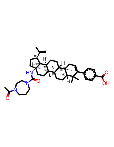 C=C(C)[C@@H]1CC[C@]2(NC(=O)N3CCCN(C(C)=O)CC3)CC[C@]3(C)[C@H](CC[C@@H]4[C@@]5(C)CC=C(c6ccc(C(=O)O)cc6)C(C)(C)[C@@H]5CC[C@]43C)[C@@H]12